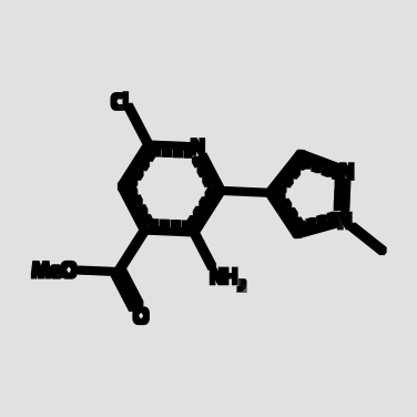 COC(=O)c1cc(Cl)nc(-c2cnn(C)c2)c1N